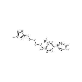 Cc1cc(CCCCCOc2ccc(-c3ncco3)cc2Br)on1